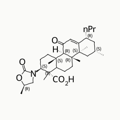 CCC[C@@H]1C[C@H](C)C[C@]2(C)C1=CC(=O)[C@@H]1[C@@]3(C)CC[C@H](N4C[C@@H](C)OC4=O)[C@@](C)(C(=O)O)C3CC[C@]12C